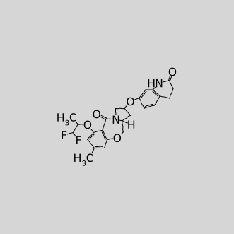 Cc1cc2c(c(OC(C)C(F)F)c1)C(=O)N1C[C@@H](Oc3ccc4c(c3)NC(=O)CC4)C[C@@H]1CO2